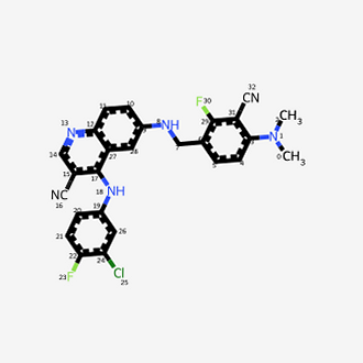 CN(C)c1ccc(CNc2ccc3ncc(C#N)c(Nc4ccc(F)c(Cl)c4)c3c2)c(F)c1C#N